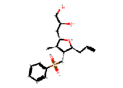 C=CC[C@@H]1O[C@H](C[C@H](O)CO)[C@H](C)[C@H]1CS(=O)(=O)c1ccccc1